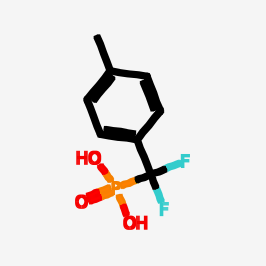 Cc1ccc(C(F)(F)P(=O)(O)O)cc1